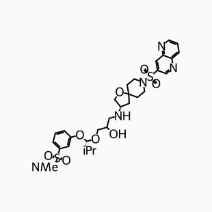 CNS(=O)(=O)c1cccc(O[C@H](OCC(O)CN[C@H]2COC3(CCN(S(=O)(=O)c4cnc5cccnc5c4)CC3)C2)C(C)C)c1